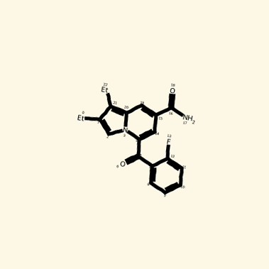 CCc1cn2c(C(=O)c3ccccc3F)cc(C(N)=O)cc2c1CC